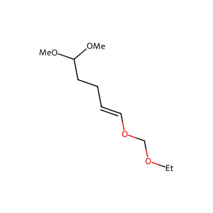 CCOCOC=CCCC(OC)OC